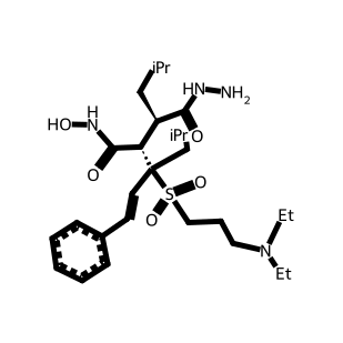 CCN(CC)CCCS(=O)(=O)C(/C=C/c1ccccc1)(CC(C)C)[C@H](C(=O)NO)[C@@H](CC(C)C)C(=O)NN